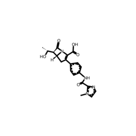 C[C@@H](O)[C@H]1C(=O)N2C(C(=O)O)=C(c3ccc(NC(=O)c4nccn4C)cc3)C[C@H]12